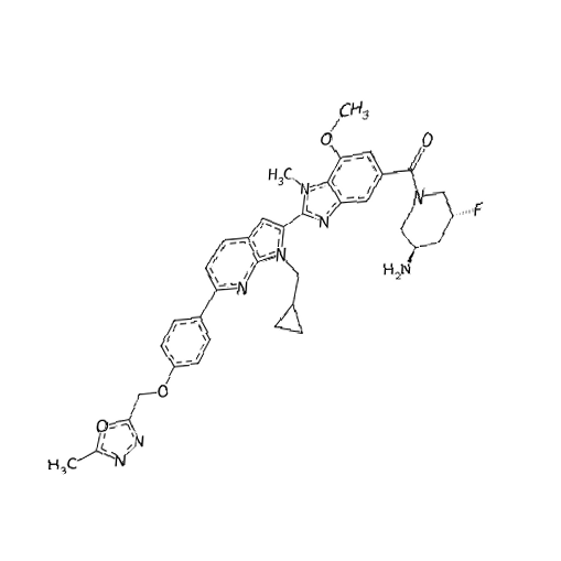 COc1cc(C(=O)N2C[C@H](N)C[C@@H](F)C2)cc2nc(-c3cc4ccc(-c5ccc(OCc6nnc(C)o6)cc5)nc4n3CC3CC3)n(C)c12